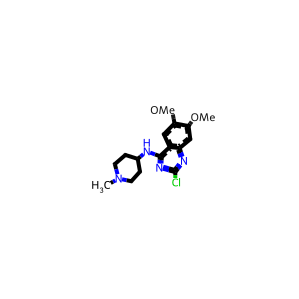 COc1cc2nc(Cl)nc(NC3CCN(C)CC3)c2cc1OC